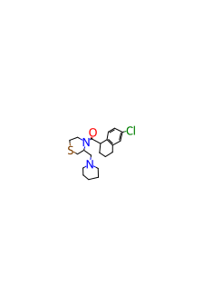 O=C(C1CCCc2cc(Cl)ccc21)N1CCSCC1CN1CCCCC1